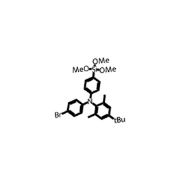 CO[Si](OC)(OC)c1ccc(N(c2ccc(Br)cc2)c2c(C)cc(C(C)(C)C)cc2C)cc1